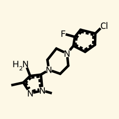 Cc1nn(C)c(N2CCN(c3ccc(Cl)cc3F)CC2)c1N